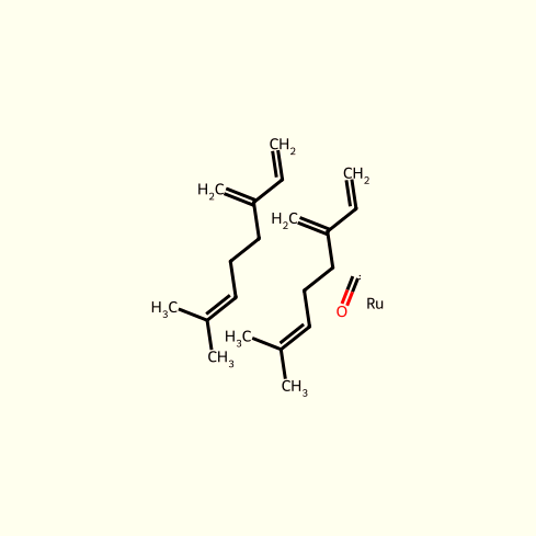 C=CC(=C)CCC=C(C)C.C=CC(=C)CCC=C(C)C.[C]=O.[Ru]